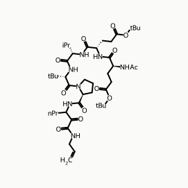 C=CCNC(=O)C(=O)C(CCC)NC(=O)[C@@H]1CCCN1C(=O)[C@@H](NC(=O)[C@@H](NC(=O)[C@H](CCC(=O)OC(C)(C)C)NC(=O)[C@H](CCC(=O)OC(C)(C)C)NC(C)=O)C(C)C)C(C)(C)C